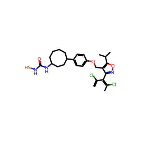 C=C(Cl)/C(=C(\C)Cl)c1noc(C(C)C)c1COc1ccc(C2CCCCC(NC(=O)NS)CC2)cc1